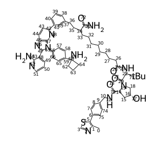 Cc1ncsc1-c1ccc(CNC(=O)[C@@H]2C[C@@H](O)CN2C(=O)[C@@H](NC(=O)CCCCCCCCC(CCc2cccc(-c3ccc4nc(-c5cccnc5N)n(-c5ccc(C6(N)CCC6)cc5)c4n3)c2)C(N)=O)C(C)(C)C)cc1